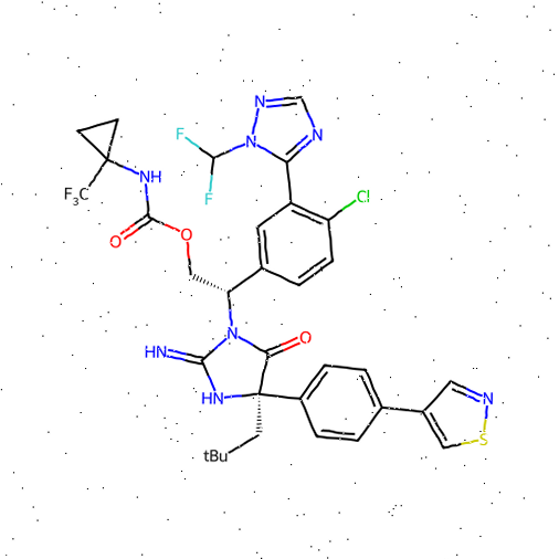 CC(C)(C)C[C@]1(c2ccc(-c3cnsc3)cc2)NC(=N)N([C@H](COC(=O)NC2(C(F)(F)F)CC2)c2ccc(Cl)c(-c3ncnn3C(F)F)c2)C1=O